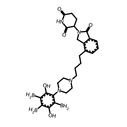 Bc1c(B)c(O)c(N2CCN(CCCCc3cccc4c3CN(C3CCC(=O)NC3=O)C4=O)CC2)c(B)c1O